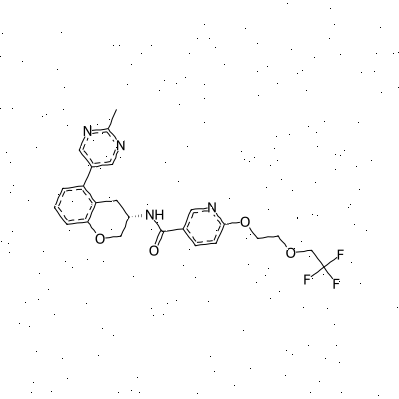 Cc1ncc(-c2cccc3c2C[C@H](NC(=O)c2ccc(OCCOCC(F)(F)F)nc2)CO3)cn1